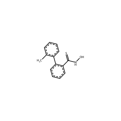 Cc1ccccc1-c1ccccc1C(=S)NO